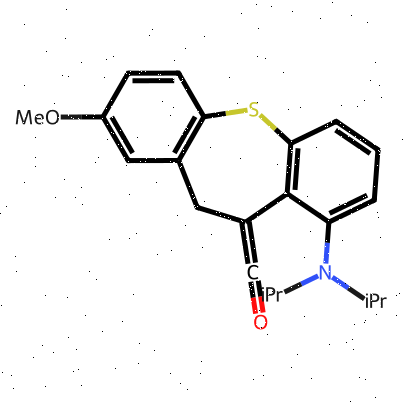 COc1ccc2c(c1)CC(=C=O)c1c(cccc1N(C(C)C)C(C)C)S2